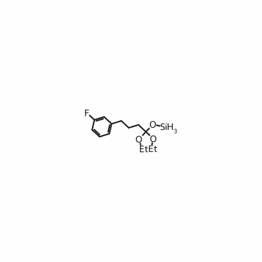 CCOC(CCCc1cccc(F)c1)(O[SiH3])OCC